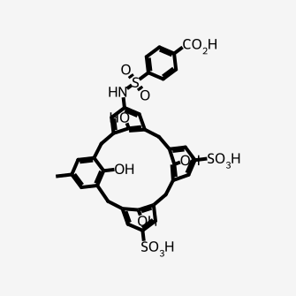 Cc1cc2c(O)c(c1)Cc1cc(S(=O)(=O)O)cc(c1O)Cc1cc(S(=O)(=O)O)cc(c1O)Cc1cc(NS(=O)(=O)c3ccc(C(=O)O)cc3)cc(c1O)C2